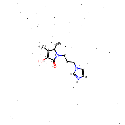 CCCC1C(C)=C(O)C(=O)N1CCCn1ccnc1